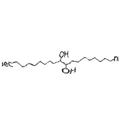 CCCCCCCCCCCCCCCCCCC(O)C(O)CCCCCCCCCCCCCCCCCC